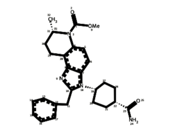 COC(=O)N1c2ccc3c(nc(Cc4ccccc4)n3[C@H]3CC[C@@H](C(N)=O)CC3)c2CC[C@@H]1C